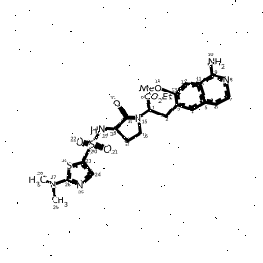 CCOC(=O)C(Cc1cc2ccnc(N)c2cc1OC)N1CCC(NS(=O)(=O)c2cnc(N(C)C)s2)C1=O